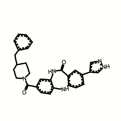 O=C1Nc2cc(C(=O)N3CCC(Cc4ccccc4)CC3)ccc2Nc2ccc(-c3cn[nH]c3)cc21